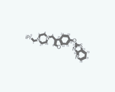 CC(C)CN1CCN(Cc2coc3cc(Oc4nc5ncccc5s4)ccc23)CC1